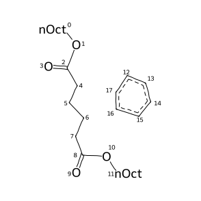 CCCCCCCCOC(=O)CCCCC(=O)OCCCCCCCC.c1ccccc1